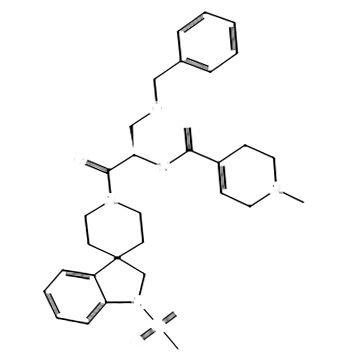 CN1CC=C(C(=O)N[C@H](COCc2ccccc2)C(=O)N2CCC3(CC2)CN(S(C)(=O)=O)c2ccccc23)CC1